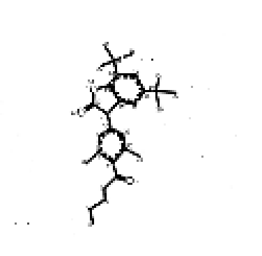 CCCCC(=O)c1c(C)cc(C2C(=O)Oc3c2cc(C(C)(C)C)cc3C(C)(C)C)cc1C